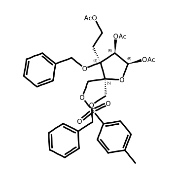 CC(=O)OCC[C@]1(OCc2ccccc2)[C@@H](OC(C)=O)[C@@H](OC(C)=O)O[C@@]1(COCc1ccccc1)COS(=O)(=O)c1ccc(C)cc1